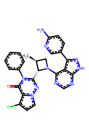 C[C@H]1CN(c2ncnc3[nH]nc(-c4ccc(N)nc4)c23)[C@@H]1c1nn2ccc(Cl)c2c(=O)n1-c1ccccc1